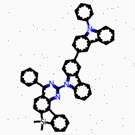 C[Si]1(C)c2ccccc2-c2c1ccc1c(-c3ccccc3)nc(-n3c4ccccc4c4cc(-c5ccc6c(c5)c5ccccc5n6-c5ccccc5)ccc43)nc21